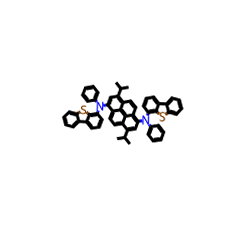 CC(C)c1cc(N(c2ccccc2)c2cccc3c2sc2ccccc23)c2ccc3c(C(C)C)cc(N(c4ccccc4)c4cccc5c4sc4ccccc45)c4ccc1c2c34